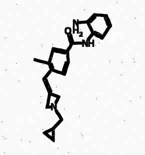 Cc1cc(C(=O)Nc2ccccc2N)ccc1C=C1CN(CC2CC2)C1